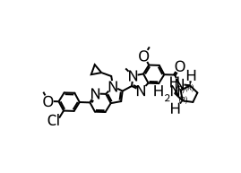 COc1ccc(-c2ccc3cc(-c4nc5cc(C(=O)N6C[C@H]7CC[C@@H]6[C@@H]7N)cc(OC)c5n4C)n(CC4CC4)c3n2)cc1Cl